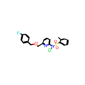 Cc1ccccc1S(=O)(=O)N(Cl)c1cccc(COCc2ccc(F)cc2)n1